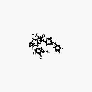 CC(C(=O)Nc1ccc(Oc2ccc(F)cc2)cn1)N1CCC(F)(F)[C@@H](c2c[nH]c(=O)c(N)n2)C1